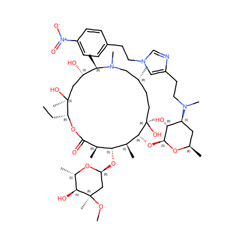 CC[C@H]1OC(=O)[C@H](C)[C@@H](O[C@H]2C[C@@](C)(OC)[C@@H](O)[C@H](C)O2)[C@H](C)[C@@H](O[C@@H]2O[C@H](C)C[C@H](N(C)CCc3cn(CCc4ccc([N+](=O)[O-])cc4)cn3)[C@H]2O)[C@](C)(O)CC[C@@H](C)CN(C)[C@H](C)[C@@H](O)C[C@]1(C)O